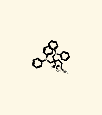 NCCCC(CP(c1ccccc1)c1ccccc1)(CP(c1ccccc1)c1ccccc1)S(=O)(=O)O